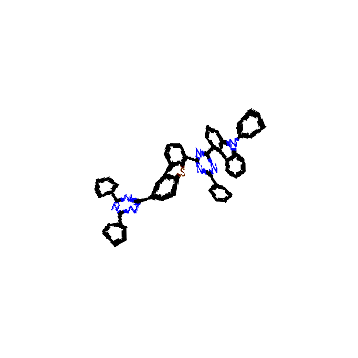 c1ccc(-c2nc(-c3ccccc3)nc(-c3ccc4sc5c(-c6nc(-c7ccccc7)nc(-c7cccc8c7c7ccccc7n8-c7ccccc7)n6)cccc5c4c3)n2)cc1